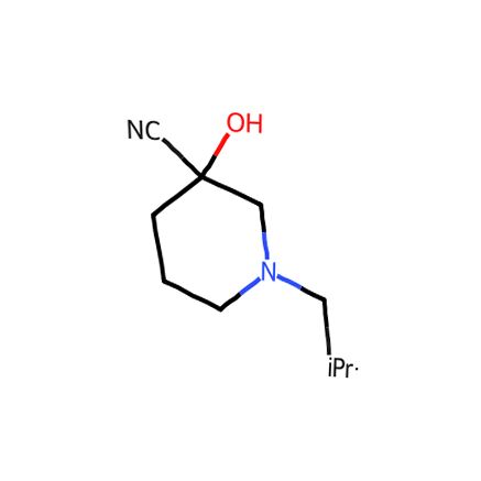 C[C](C)CN1CCCC(O)(C#N)C1